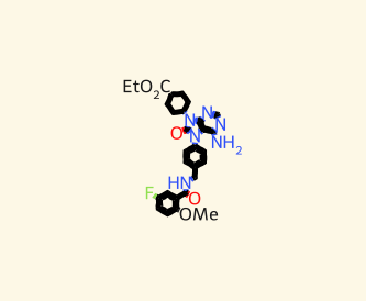 CCOC(=O)C1CCC(n2c(=O)n(-c3ccc(CNC(=O)c4cc(F)ccc4OC)cc3)c3c(N)ncnc32)CC1